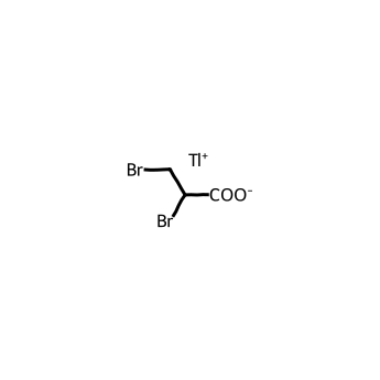 O=C([O-])C(Br)CBr.[Tl+]